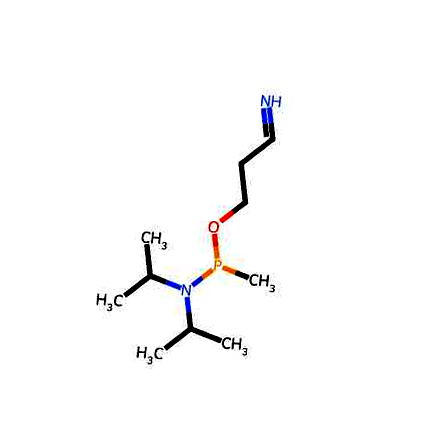 CC(C)N(C(C)C)P(C)OCCC=N